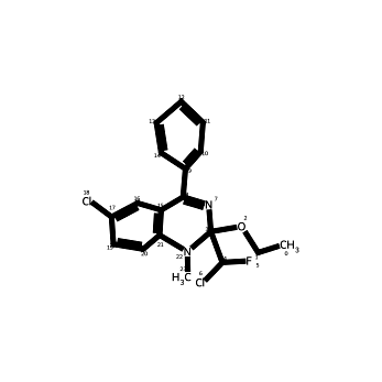 CCOC1(C(F)Cl)N=C(c2ccccc2)c2cc(Cl)ccc2N1C